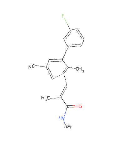 CCCNC(=O)/C(C)=C/c1cc(C#N)cc(-c2cccc(F)c2)c1C